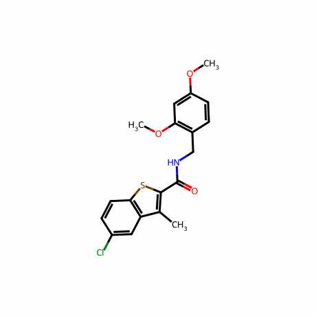 COc1ccc(CNC(=O)c2sc3ccc(Cl)cc3c2C)c(OC)c1